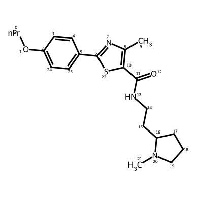 CCCOc1ccc(-c2nc(C)c(C(=O)NCCC3CCCN3C)s2)cc1